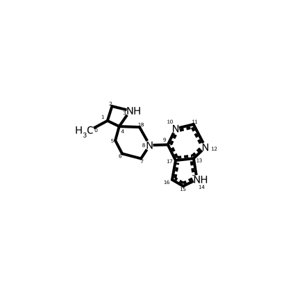 CC1CNC12CCCN(c1ncnc3[nH]ccc13)C2